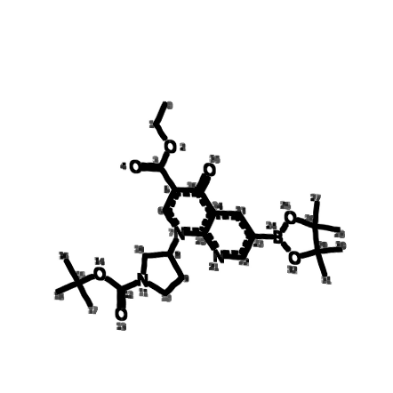 CCOC(=O)c1cn(C2CCN(C(=O)OC(C)(C)C)C2)c2ncc(B3OC(C)(C)C(C)(C)O3)cc2c1=O